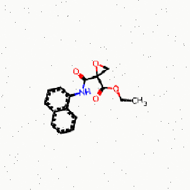 CCOC(=O)C1(C(=O)Nc2cccc3ccccc23)CO1